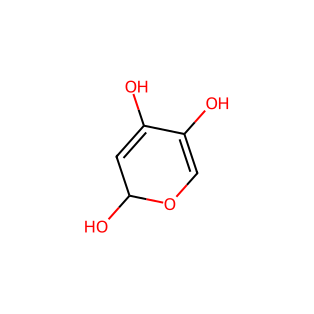 OC1=COC(O)C=C1O